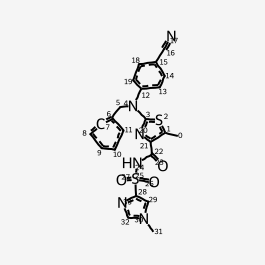 Cc1sc(N(Cc2ccccc2)c2ccc(C#N)cc2)nc1C(=O)NS(=O)(=O)c1cn(C)cn1